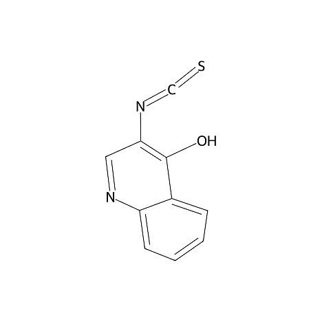 Oc1c(N=C=S)cnc2ccccc12